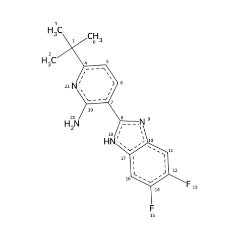 CC(C)(C)c1ccc(-c2nc3cc(F)c(F)cc3[nH]2)c(N)n1